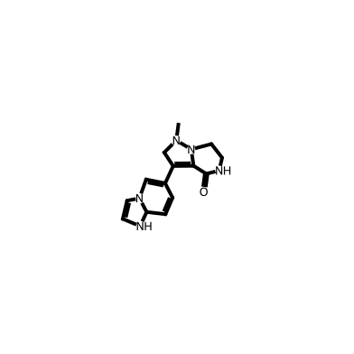 CN1CC(C2=CN3C=CNC3C=C2)=C2C(=O)NCCN21